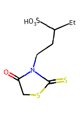 CCC(CCN1C(=O)CSC1=S)S(=O)(=O)O